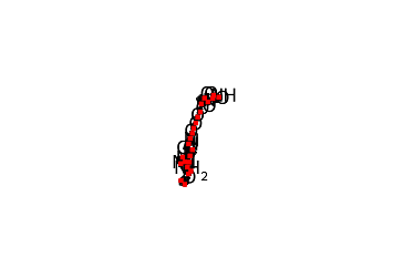 Nc1ncnc2c1c(-c1ccc(Oc3ccccc3)cc1)nn2C1CCCN(C(=O)c2cn(CCOCCOCCOCCOc3cccc4c3C(=O)N(C3CCC(=O)NC3=O)C4=O)nn2)C1